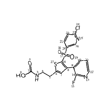 O=C(O)NCCc1cc(-c2cccnc2F)c(S(=O)(=O)c2ccc(Cl)nc2)s1